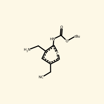 CC(C)(C)OC(=O)Nc1ccc(CC#N)cc1CN